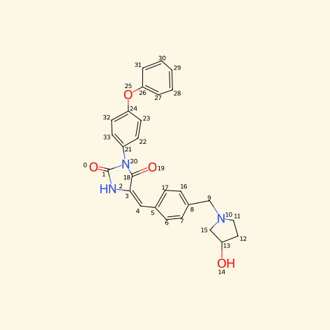 O=C1NC(=Cc2ccc(CN3CCC(O)C3)cc2)C(=O)N1c1ccc(Oc2ccccc2)cc1